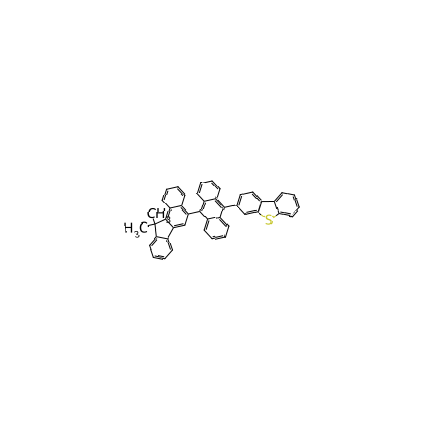 CC1(C)c2ccccc2-c2cc(-c3c4ccccc4c(-c4ccc5c(c4)sc4ccccc45)c4ccccc34)c3ccccc3c21